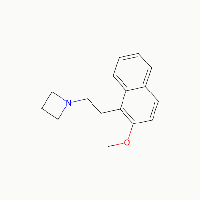 COc1ccc2ccccc2c1CCN1CCC1